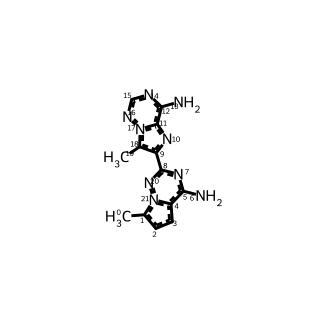 Cc1ccc2c(N)nc(-c3nc4c(N)ncnn4c3C)nn12